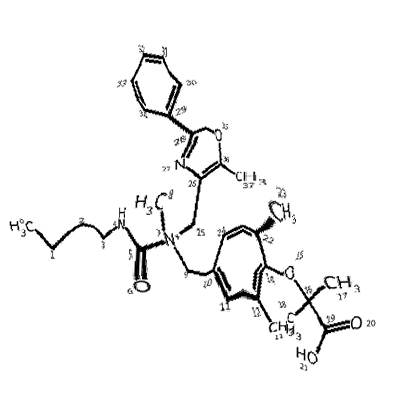 CCCCNC(=O)[N+](C)(Cc1cc(C)c(OC(C)(C)C(=O)O)c(C)c1)Cc1nc(-c2ccccc2)oc1C